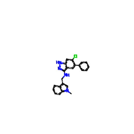 Cn1cc(CNc2n[nH]c3cc(Cl)c(-c4ccccc4)cc23)c2ccccc21